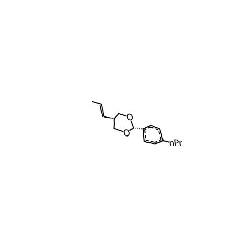 CC=C[C@H]1CO[C@H](c2ccc(CCC)cc2)OC1